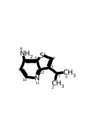 CC(C)c1csc2c(N)ccnc12